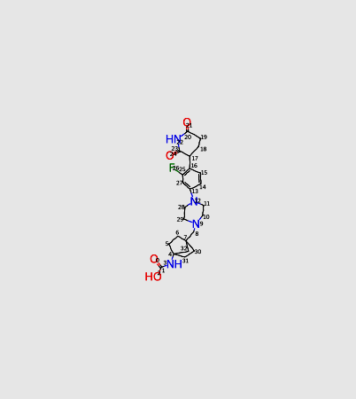 O=C(O)NC12CCC(CN3CCN(c4ccc(C5CCC(=O)NC5=O)c(F)c4)CC3)(CC1)C2